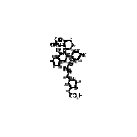 CS(=O)(=O)N[C@H]1CCCCC1N1C(=O)c2ccccc2[C@@H](C(=O)NOCc2cccc(CC(=O)O)c2)[C@@H]1c1ccc(Cl)cc1Cl